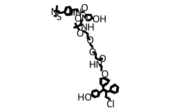 Cc1ncsc1-c1ccc(CNC(=O)[C@@H]2C[C@@H](O)CN2C(=O)[C@@H](NC(=O)CCOCCOCCC(=O)NCCOc2ccc(C(=C(CCCl)c3ccccc3)c3ccc(O)cc3)cc2)C(C)(C)C)cc1